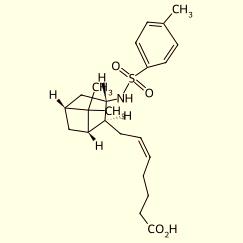 Cc1ccc(S(=O)(=O)N[C@H]2C[C@H]3C[C@@H]([C@@H]2C/C=C\CCCC(=O)O)C3(C)C)cc1